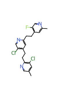 Cc1cnc(CCc2cc(CCc3cc(C)ncc3F)ncc2Cl)c(Cl)c1